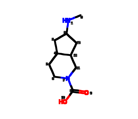 CNC1CC2CCN(C(=O)O)CC2C1